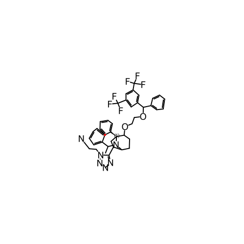 CC(c1ccccc1)N1C2CCC(OCCOC(c3ccccc3)c3cc(C(F)(F)F)cc(C(F)(F)F)c3)[C@@]1(c1ccccc1)CC2c1nnnn1CCC#N